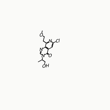 COCCc1nc(Cl)cc2c(=O)n(C(C)CO)cnc12